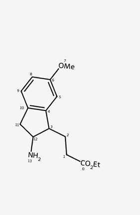 CCOC(=O)CCC1c2cc(OC)ccc2CC1N